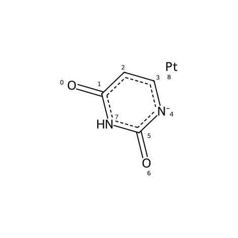 O=c1cc[n-]c(=O)[nH]1.[Pt]